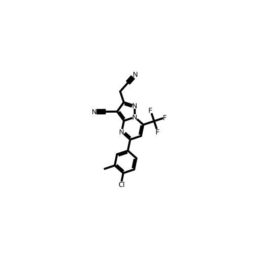 Cc1cc(-c2cc(C(F)(F)F)n3nc(CC#N)c(C#N)c3n2)ccc1Cl